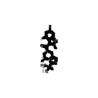 C[C@H]1CN(C(=O)c2c3c(F)cc(F)cc3nn2C)Cc2cnc([C@@](C)(O)C(F)(F)F)n21